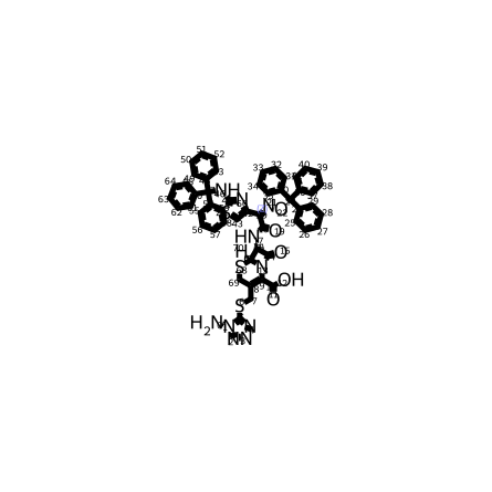 Nn1nnnc1SCC1=C(C(=O)O)N2C(=O)[C@@H](NC(=O)/C(=N\OC(c3ccccc3)(c3ccccc3)c3ccccc3)c3csc(NC(c4ccccc4)(c4ccccc4)c4ccccc4)n3)[C@@H]2SC1